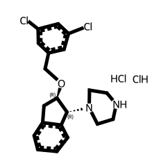 Cl.Cl.Clc1cc(Cl)cc(CO[C@@H]2Cc3ccccc3[C@H]2N2CCNCC2)c1